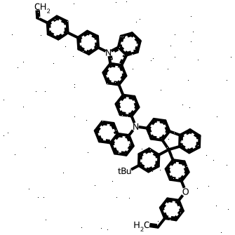 C=Cc1ccc(Oc2ccc(C3(c4ccc(C(C)(C)C)cc4)c4ccccc4-c4ccc(N(c5ccc(-c6ccc7c(c6)c6ccccc6n7-c6ccc(-c7ccc(C=C)cc7)cc6)cc5)c5cccc6ccccc56)cc43)cc2)cc1